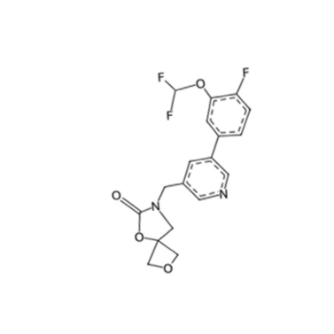 O=C1OC2(COC2)CN1Cc1cncc(-c2ccc(F)c(OC(F)F)c2)c1